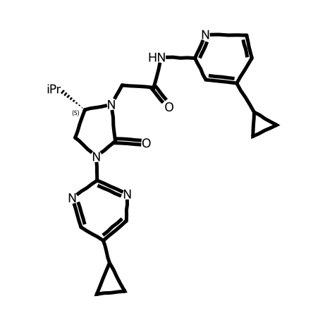 CC(C)[C@H]1CN(c2ncc(C3CC3)cn2)C(=O)N1CC(=O)Nc1cc(C2CC2)ccn1